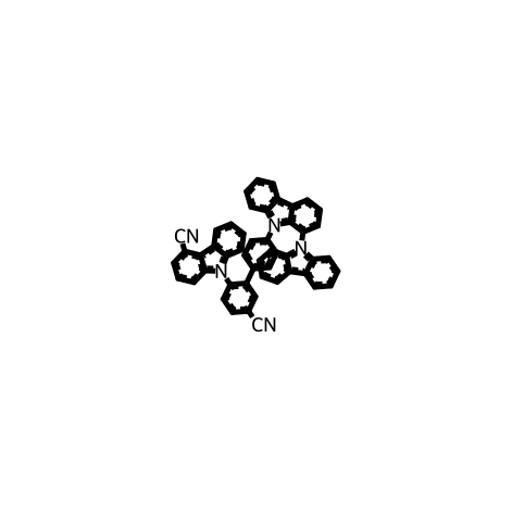 N#Cc1ccc(-n2c3ccccc3c3c(C#N)cccc32)c(-c2ccc(-n3c4ccccc4c4cccc(-n5c6ccccc6c6ccccc65)c43)cc2)c1